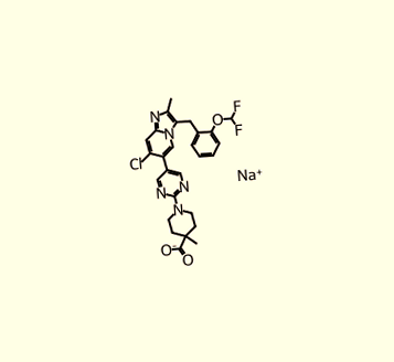 Cc1nc2cc(Cl)c(-c3cnc(N4CCC(C)(C(=O)[O-])CC4)nc3)cn2c1Cc1ccccc1OC(F)F.[Na+]